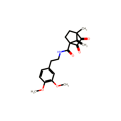 C=C1C2(C)CCC1(C(=O)NCCc1ccc(OC)c(OC)c1)C(=O)C2=O